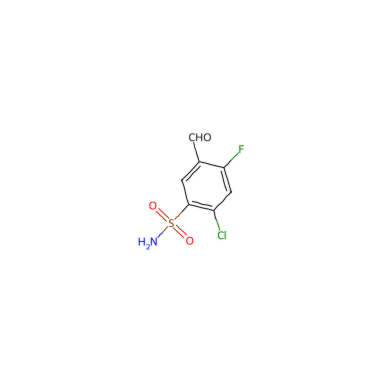 NS(=O)(=O)c1cc(C=O)c(F)cc1Cl